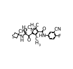 Cc1c(C(=O)Nc2ccc(F)c(C#N)c2)c(C)n(C)c1C(=O)C(=O)NC1(C)CSC1